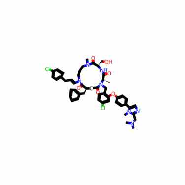 C[C@H]1C(=O)N[C@@H](CO)C(=O)N(C)CCCN(/C=C/Cc2ccc(Cl)cc2)C(=O)[C@H](Cc2ccccc2)CC(=O)N1Cc1ccc(Cl)cc1Oc1ccc(-c2cnc(CN(C)C)n2C)cc1